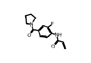 C=CC(=O)Nc1ccc(C(=O)N2CCCC2)cc1F